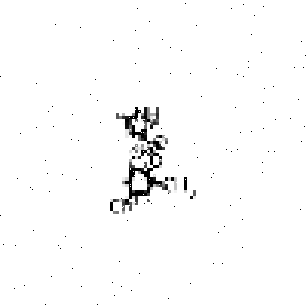 Cc1cc(Cl)ccc1OS(=O)(=O)c1nc[nH]n1